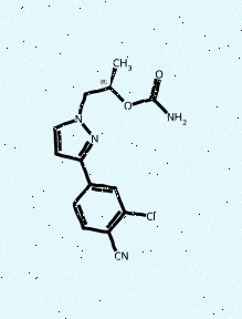 C[C@H](Cn1ccc(-c2ccc(C#N)c(Cl)c2)n1)OC(N)=O